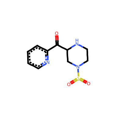 O=C(c1ccccn1)C1CN([S](=O)=O)CCN1